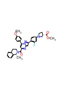 COC(=O)[C@H]1CCN(c2ccc(-c3cc4nc(C(=O)N5CCc6ccccc6[C@H]5C)cc(-c5ccc(OC)cc5)n4n3)c(F)c2)C1